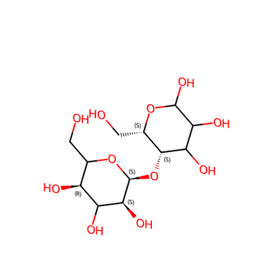 OCC1O[C@@H](O[C@H]2C(O)C(O)C(O)O[C@H]2CO)[C@@H](O)C(O)[C@H]1O